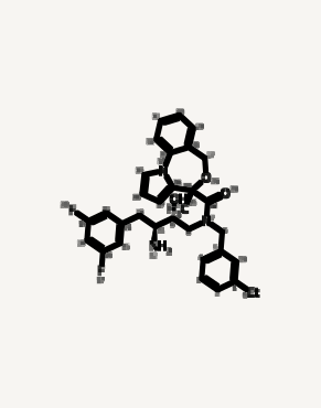 CCc1cccc(CN(C[C@@H](O)[C@@H](N)Cc2cc(F)cc(F)c2)C(=O)C2(C)OCc3ccccc3-n3cccc32)c1